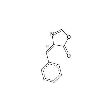 O=C1OC=N/C1=C/c1ccccc1